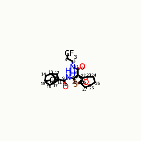 O=C(NCCC(F)(F)F)c1c(NC(=O)C23CC4CC(CC2C4)C3)sc2c1C1CCC(C2)O1